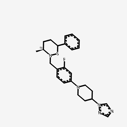 C[C@H]1CCC(c2ccccc2)SN1Cc1ccc(N2CCC(n3cncn3)CC2)cc1F